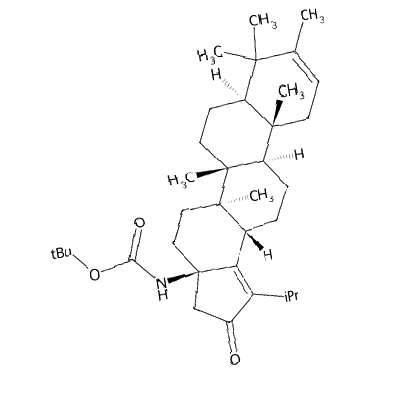 CC1=CC[C@]2(C)[C@H]3CC[C@@H]4C5=C(C(C)C)C(=O)C[C@]5(NC(=O)OC(C)(C)C)CC[C@@]4(C)[C@]3(C)CC[C@H]2C1(C)C